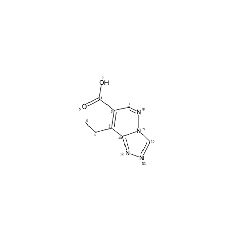 CCc1c(C(=O)O)cnn2cnnc12